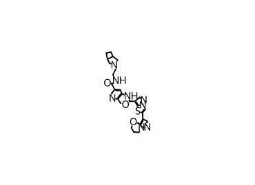 Cc1ncc(C(=O)NCCN2CC3CCC3C2)cc1NC(=O)c1cnn2cc(-c3cnn4c3OCCC4)sc12